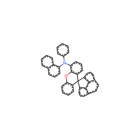 c1ccc(N(c2cccc3c2Oc2ccccc2C32c3cccc4ccc5cccc2c5c34)c2cccc3ccccc23)cc1